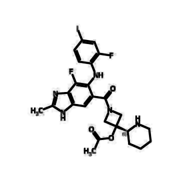 CC(=O)OC1([C@@H]2CCCCN2)CN(C(=O)c2cc3[nH]c(C)nc3c(F)c2Nc2ccc(I)cc2F)C1